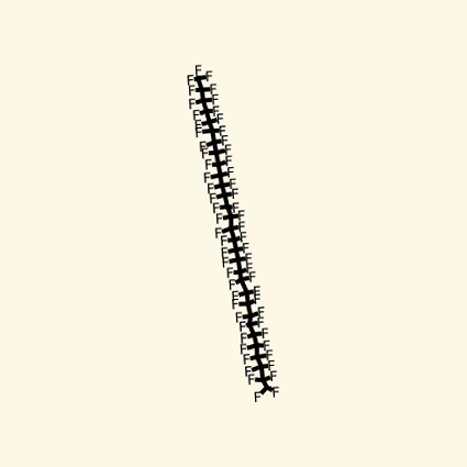 F[C](F)C(F)(F)C(F)(F)C(F)(F)C(F)(F)C(F)(F)C(F)(F)C(F)(F)C(F)(F)C(F)(F)C(F)(F)C(F)(F)C(F)(F)C(F)(F)C(F)(F)C(F)(F)C(F)(F)C(F)(F)C(F)(F)C(F)(F)C(F)(F)C(F)(F)C(F)(F)C(F)(F)C(F)(F)C(F)(F)C(F)(F)C(F)(F)C(F)(F)C(F)(F)F